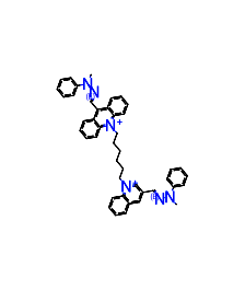 CN(/N=C/c1cc2ccccc2[n+](CCCCCC[n+]2c3ccccc3c(/C=N/N(C)c3ccccc3)c3ccccc32)c1)c1ccccc1